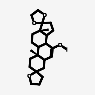 C[C@]12CCC3(CCCO3)CC1C=C(OI)C1C2CC[C@@]2(C)C1CCC21OCCO1